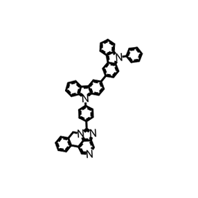 c1ccc(-n2c3ccccc3c3cc(-c4ccc5c(c4)c4ccccc4n5-c4ccc(-c5nc6cncc7c6n5Cc5ccccc5-7)cc4)ccc32)cc1